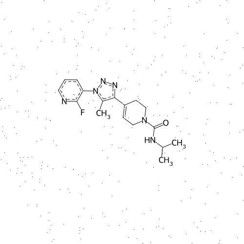 Cc1c(C2=CCN(C(=O)NC(C)C)CC2)nnn1-c1cccnc1F